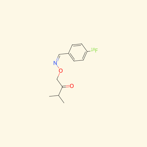 CC(C)C(=O)CO/N=C\c1ccc([18F])cc1